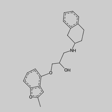 Cc1cc2c(OCC(O)CNC3CCc4ccccc4C3)cccc2o1